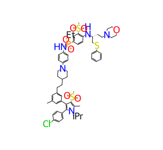 CCOP(=O)(Nc1ccc(N2CCC(CCc3cc(C)cc(-c4c(S(C)(=O)=O)c(C)n(C(C)C)c4-c4ccc(Cl)cc4)c3)CC2)cc1)c1ccc(N[C@H](CCN2CCOCC2)CSc2ccccc2)c(S(C)(=O)=O)c1